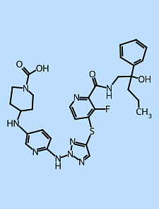 CCCC(O)(CNC(=O)c1nccc(Sc2cnn(Nc3ccc(NC4CCN(C(=O)O)CC4)cn3)n2)c1F)c1ccccc1